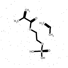 C=C(C)C(=O)OCCOP(=O)(O)O.C=CC